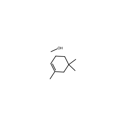 CC1=CCCC(C)(C)C1.CO